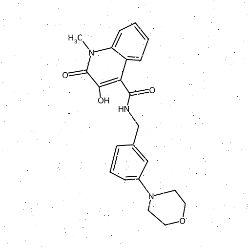 Cn1c(=O)c(O)c(C(=O)NCc2cccc(N3CCOCC3)c2)c2ccccc21